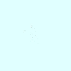 CC(C)(O)[C@@]12O[C@@H]1[C@]1(O)C3C[C@H]4C5=C(CC[C@]4(C)[C@]1(O)C(=O)[C@@H]2O3)C(=O)OC5